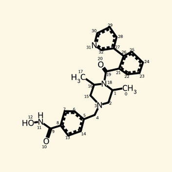 CC1CN(Cc2ccc(C(=O)NO)cc2)CC(C)N1C(=O)c1ccccc1-c1cccnc1